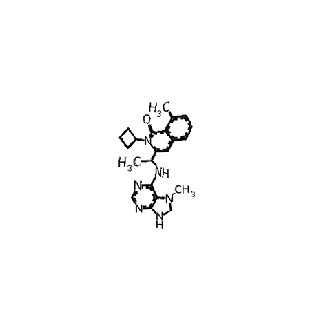 Cc1cccc2cc(C(C)Nc3ncnc4c3N(C)CN4)n(C3CCC3)c(=O)c12